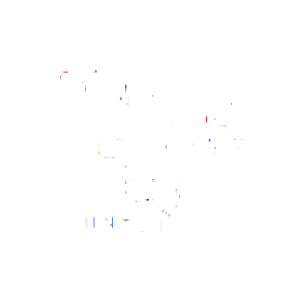 CCS(=O)(=O)N1CCC(c2c[nH]c3c(C(N)=O)cc(-c4csc(CN5CCCC5CC(C)C)c4)cc23)CC1.O=C(O)C(F)(F)F